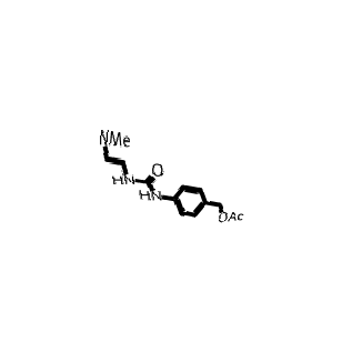 CNCCNC(=O)Nc1ccc(COC(C)=O)cc1